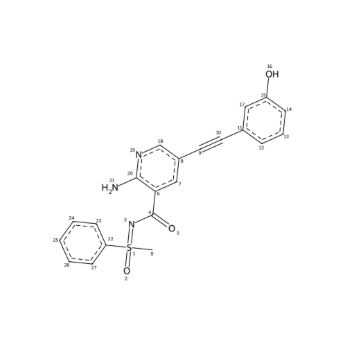 CS(=O)(=NC(=O)c1cc(C#Cc2cccc(O)c2)cnc1N)c1ccccc1